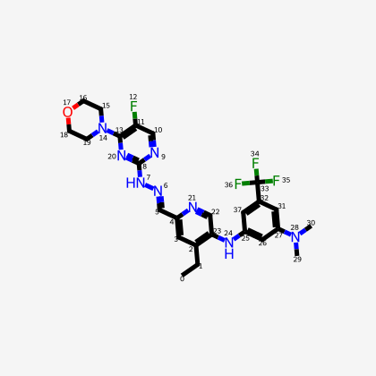 CCc1cc(/C=N/Nc2ncc(F)c(N3CCOCC3)n2)ncc1Nc1cc(N(C)C)cc(C(F)(F)F)c1